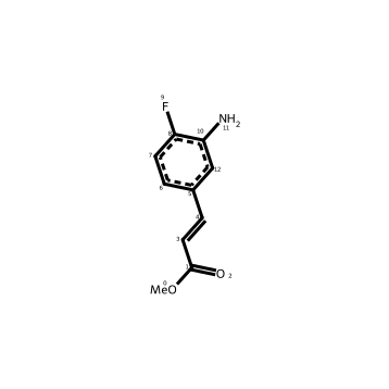 COC(=O)/C=C/c1ccc(F)c(N)c1